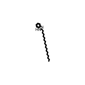 CCCCCCCCCCCCCCCCCCc1nc2ccccc2[nH]1